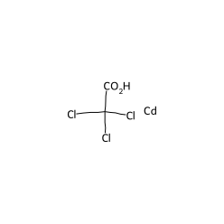 O=C(O)C(Cl)(Cl)Cl.[Cd]